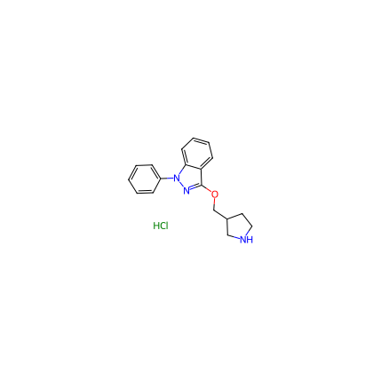 Cl.c1ccc(-n2nc(OCC3CCNC3)c3ccccc32)cc1